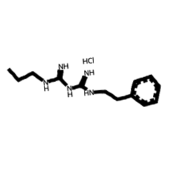 CCCNC(=N)NC(=N)NCCc1ccccc1.Cl